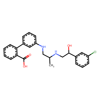 CC(CNc1cccc(-c2ccccc2C(=O)O)c1)NCC(O)c1cccc(Cl)c1